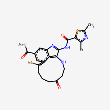 CCc1nc(C)sc1C(=O)NC1=Nc2cc(C(=O)OC)c/c3c2=C1NCCC(=O)CCC/C=3S